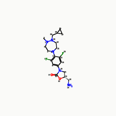 CN1CCN(c2c(F)cc(N3C[C@H](CN)OC3=O)cc2F)CCN1CC1CC1